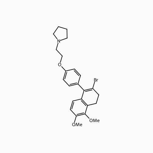 COc1ccc2c(c1OC)CCC(Br)=C2c1ccc(OCCN2CCCC2)cc1